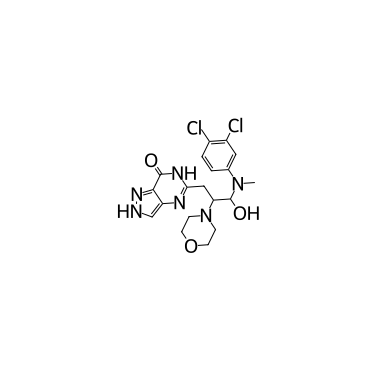 CN(c1ccc(Cl)c(Cl)c1)C(O)C(Cc1nc2c[nH]nc2c(=O)[nH]1)N1CCOCC1